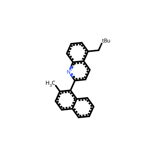 Cc1ccc2ccccc2c1-c1ccc2c(CC(C)(C)C)cccc2n1